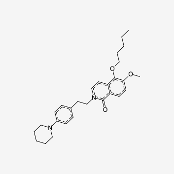 CCCCCOc1c(OC)ccc2c(=O)n(CCc3ccc(N4CCCCC4)cc3)ccc12